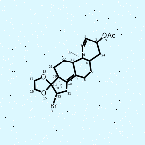 CC(=O)OC1C=C[C@@]2(C)C(CCC3=C4CC(Br)C5(OCCO5)[C@@]4(C)CCC32)C1